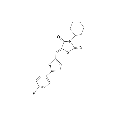 O=C1C(=Cc2ccc(-c3ccc(F)cc3)o2)SC(=S)N1C1CCCCC1